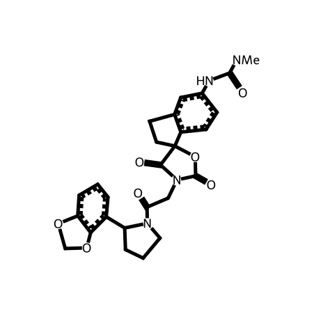 CNC(=O)Nc1ccc2c(c1)CCC21OC(=O)N(CC(=O)N2CCCC2c2cccc3c2OCO3)C1=O